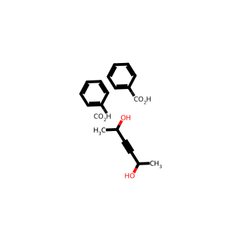 CC(O)C#CC(C)O.O=C(O)c1ccccc1.O=C(O)c1ccccc1